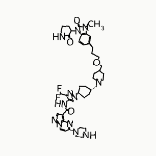 Cn1c(=O)n(C2CCCNC2=O)c2ccc(CCCOCC3CCN(C[C@H]4CC[C@H](n5cc(NC(=O)c6cnn7ccc(N8CCNCC8)nc67)c(C(F)F)n5)CC4)CC3)cc21